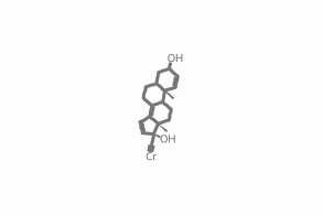 C[C@]12C=CC(O)CC1CCC1=C3C=C[C@@](O)([C]#[Cr])[C@@]3(C)CCC12